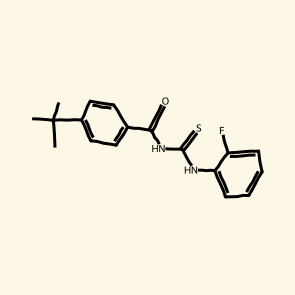 CC(C)(C)c1ccc(C(=O)NC(=S)Nc2ccccc2F)cc1